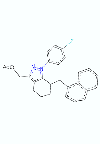 CC(=O)OCc1nn(-c2ccc(F)cc2)c2c1CCCC2Cc1cccc2ccccc12